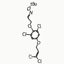 CC(C)(C)ON=CCOc1c(Cl)cc(OCC=C(Cl)Cl)cc1Cl